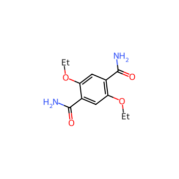 CCOc1cc(C(N)=O)c(OCC)cc1C(N)=O